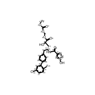 CC(C)OC(=O)OCOC(=O)[C@H](O)C[C@@H](Cc1ccc(-c2cc(Cl)ccc2F)cc1)NC(=O)c1nnn(O)n1